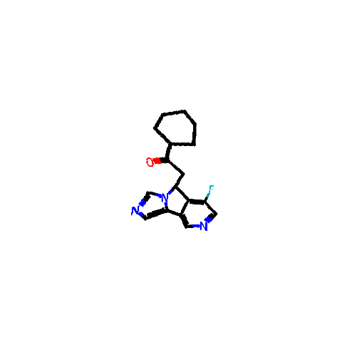 O=C(CC1c2c(F)cncc2-c2cncn21)C1CCCCC1